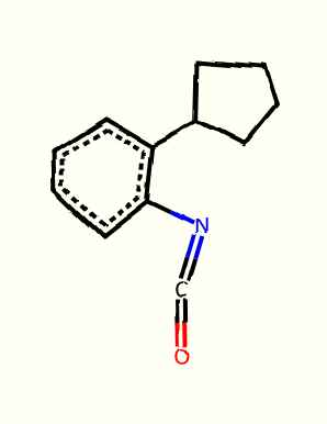 O=C=Nc1ccccc1C1CCCC1